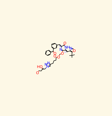 CC(C)(C)c1ocnc1/C=c1\[nH]c(=O)/c(=C/c2cccc(C(=O)c3ccccc3)c2)nc1OCOC(=O)CCCc1cn(C[C@H](O)CC=O)nn1